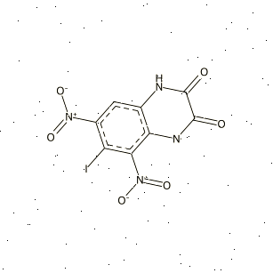 O=C1[N]c2c(cc([N+](=O)[O-])c(I)c2[N+](=O)[O-])NC1=O